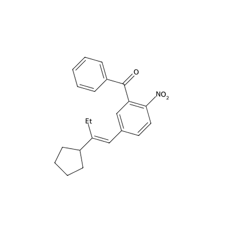 CC/C(=C\c1ccc([N+](=O)[O-])c(C(=O)c2ccccc2)c1)C1CCCC1